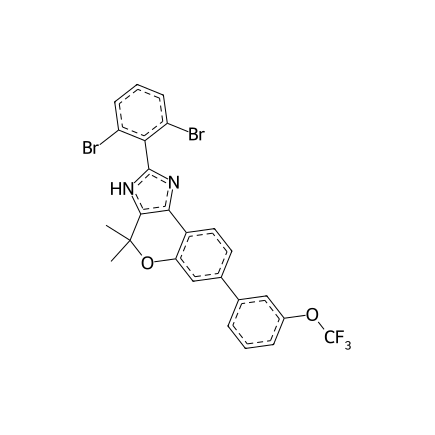 CC1(C)Oc2cc(-c3cccc(OC(F)(F)F)c3)ccc2-c2nc(-c3c(Br)cccc3Br)[nH]c21